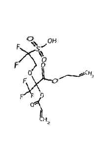 C=CCOC(=O)C(OCC(F)(F)S(=O)(=O)O)(OC(=O)C=C)C(F)(F)F